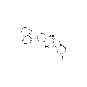 O[C@H]1c2cc(F)ccc2C[C@H]1NC1CCN(c2cccc3c2OCCC3)CC1